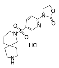 Cl.O=C1OCCN1c1ccc(S(=O)(=O)N2CCCC3(CCNCC3)C2)cn1